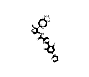 Cn1ncc(NC(=O)c2csc(-c3c(F)cc([C@@H]4CCCO4)cc3F)n2)c1[C@@H]1CC[C@@H](N)[C@H](F)CO1